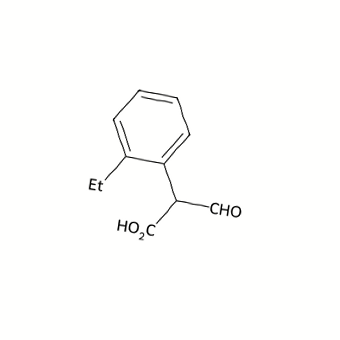 CCc1ccccc1C(C=O)C(=O)O